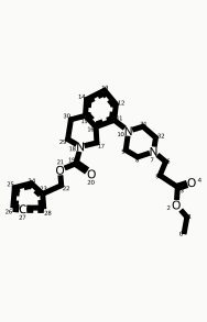 CCOC(=O)CCN1CCN(c2cccc3c2CN(C(=O)OCc2ccccc2)CC3)CC1